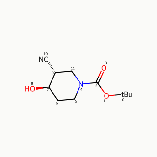 CC(C)(C)OC(=O)N1CC[C@@H](O)[C@H](C#N)C1